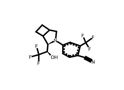 N#Cc1ccc(N2CC3CCC3[C@@H]2[C@@H](O)C(F)(F)F)cc1C(F)(F)F